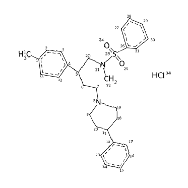 Cc1ccc(C(CCN2CCC(c3ccccc3)CC2)CN(C)S(=O)(=O)c2ccccc2)cc1.Cl